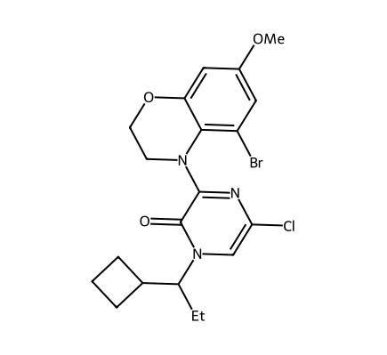 CCC(C1CCC1)n1cc(Cl)nc(N2CCOc3cc(OC)cc(Br)c32)c1=O